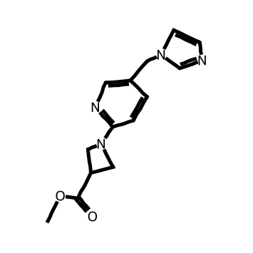 COC(=O)C1CN(c2ccc(Cn3ccnc3)cn2)C1